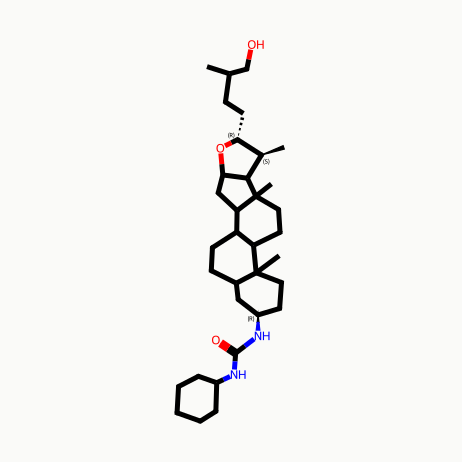 CC(CO)CC[C@H]1OC2CC3C4CCC5C[C@H](NC(=O)NC6CCCCC6)CCC5(C)C4CCC3(C)C2[C@@H]1C